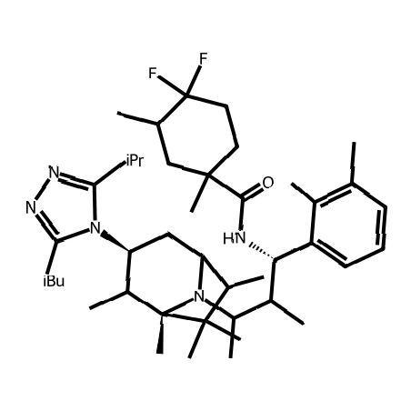 CCC(C)c1nnc(C(C)C)n1[C@H]1CC2C(C)C(C)(C)[C@](C)(C1C)N2C(C)C(C)[C@H](NC(=O)C1(C)CCC(F)(F)C(C)C1)c1cccc(C)c1C